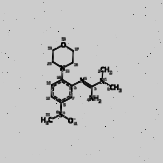 CN(C)/C(N)=N/c1cc([S+](C)[O-])ccc1N1CCOCC1